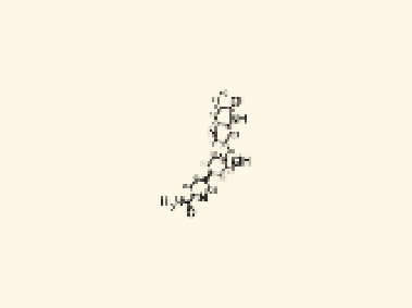 CCc1cc2ncc(CN3C=CC(=C4C=CC(C(N)=O)N=C4)CC3)cc2[nH]c1=O.Cl